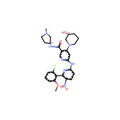 COc1cccc(F)c1-c1nc(Nc2cc(N3CCC[C@H](O)C3)c(C(=O)N[C@@H]3CCN(C)C3)cn2)ccc1[N+](=O)[O-]